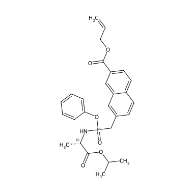 C=CCOC(=O)c1ccc2ccc(CP(=O)(N[C@@H](C)C(=O)OC(C)C)Oc3ccccc3)cc2c1